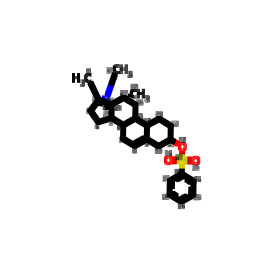 CC1C2CCC3C4CC=C5CC(OS(=O)(=O)c6ccccc6)CCC5C4CCC32[C@H](C)N1C